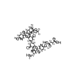 CNCc1cc(S(=O)(=O)c2ccc(OC)nc2)n(-c2ccccc2Cl)n1.COc1ccc(S(=O)(=O)c2cc(CN(C)C(=O)OC(C)(C)C)nn2-c2ccccc2Cl)cn1.O=C(O)/C=C/C(=O)O